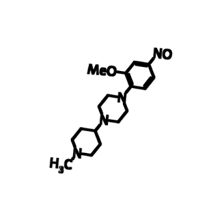 COc1cc(N=O)ccc1N1CCN(C2CCN(C)CC2)CC1